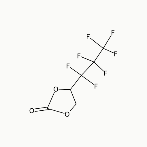 O=C1OCC(C(F)(F)C(F)(F)C(F)(F)F)O1